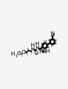 CCOCCCNC(=O)Nc1n[nH]c2cc(-c3cccc(C#N)c3)ccc12